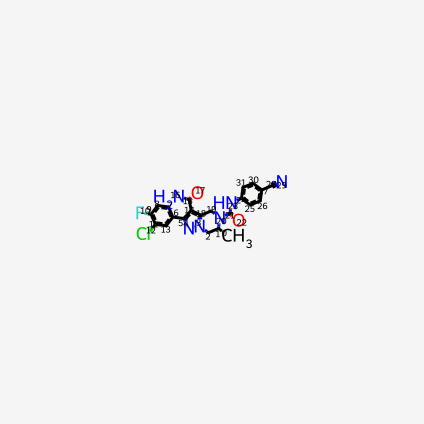 CC1Cn2nc(-c3ccc(F)c(Cl)c3)c(C(N)=O)c2CN1C(=O)Nc1ccc(C#N)cc1